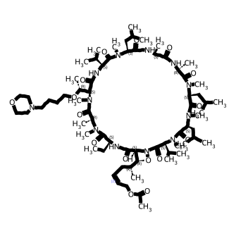 CC[C@@H]1NC(=O)[C@@H]2[C@@H]([C@H](C)C/C=C\COC(C)=O)ON2C(=O)[C@H](C(C)C)N(C)C(=O)[C@H](CC(C)C)N(C)C(=O)[C@H](CC(C)C)N(C)C(=O)[C@@H](C)NC(=O)[C@H](C)NC(=O)[C@H](CC(C)C)N(C)C(=O)[C@H](C(C)C)NC(=O)[C@H]([C@@H](C)OCCCCN2CCOCC2)N(C)C(=O)[C@@H](C)N(C)C1=O